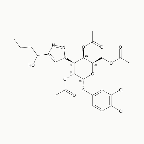 CCCC(O)c1cn([C@@H]2[C@@H](OC(C)=O)[C@@H](Sc3ccc(Cl)c(Cl)c3)O[C@H](COC(C)=O)[C@@H]2OC(C)=O)nn1